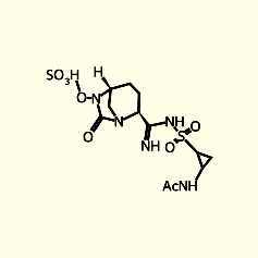 CC(=O)NC1CC1S(=O)(=O)NC(=N)[C@@H]1CC[C@@H]2CN1C(=O)N2OS(=O)(=O)O